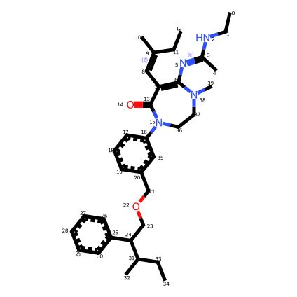 CCN/C(C)=N/C1=C(/C=C(/C)CC)C(=O)N(c2cccc(COCC(c3ccccc3)C(C)CC)c2)CCN1C